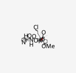 CO[C@@H]1CCC23CC[C@@H](C)[C@](C)(C12)[C@H](OC(=O)NC(=O)[C@H]1CN2CC[C@@H]1C2)C[C@@](C)(CC=CCl)C(=O)[C@@H]3C